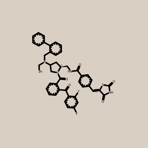 CC(C)CN(Cc1ccccc1-c1ccccc1)C1C[C@@H](CNC(=O)c2ccc(/C=C3\SC(=O)NC3=O)cc2)N(C(=O)c2ccccc2C(=O)c2ccc(F)cc2F)C1